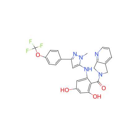 Cn1nc(-c2ccc(OC(F)(F)F)cc2)cc1Nc1cc(O)cc(O)c1C(=O)N1Cc2cccnc2C1